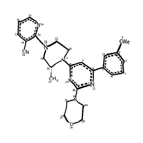 COc1cccc(-c2cc(N3CCN(c4ncccc4C#N)C[C@H]3C)nc(N3CCOCC3)n2)c1